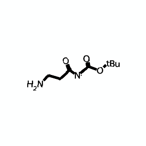 CC(C)(C)OC(=O)[N]C(=O)CCN